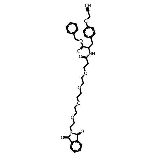 C#CCOc1ccc(CC(NC(=O)CCOCCOCCOCCOCCN2C(=O)c3ccccc3C2=O)C(=O)OCc2ccccc2)cc1